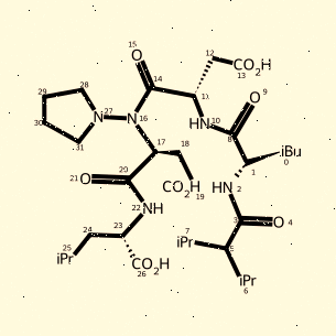 CC[C@H](C)[C@H](NC(=O)C(C(C)C)C(C)C)C(=O)N[C@@H](CC(=O)O)C(=O)N([C@@H](CC(=O)O)C(=O)N[C@@H](CC(C)C)C(=O)O)N1CCCC1